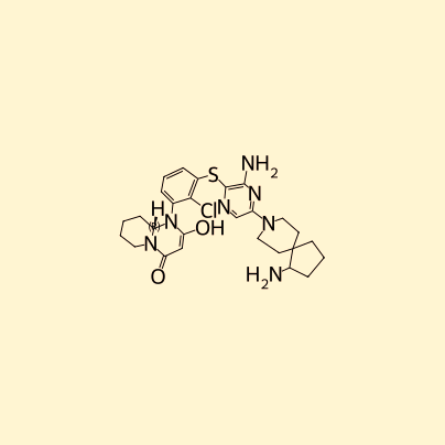 Nc1nc(N2CCC3(CCCC3N)CC2)cnc1Sc1cccc(N2C(O)=CC(=O)N3CCCC[C@@H]32)c1Cl